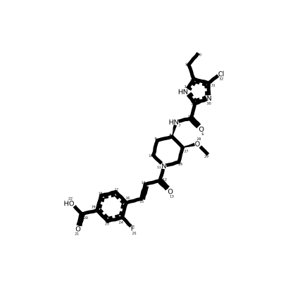 CCc1[nH]c(C(=O)N[C@@H]2CCN(C(=O)/C=C/c3ccc(C(=O)O)cc3F)C[C@@H]2OC)nc1Cl